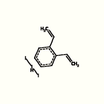 C=Cc1ccccc1C=C.I[IH]I